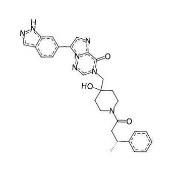 C[C@H](CC(=O)N1CCC(O)(Cn2cnn3c(-c4ccc5cn[nH]c5c4)cnc3c2=O)CC1)c1ccccc1